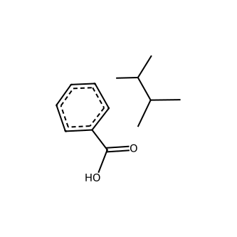 CC(C)C(C)C.O=C(O)c1ccccc1